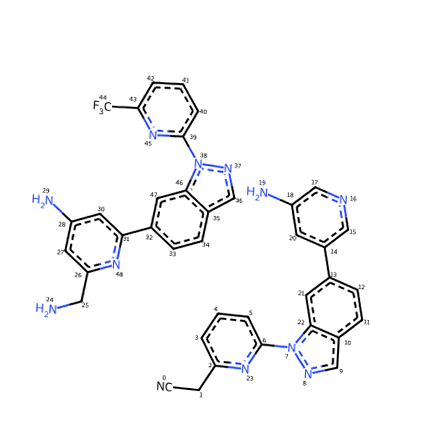 N#CCc1cccc(-n2ncc3ccc(-c4cncc(N)c4)cc32)n1.NCc1cc(N)cc(-c2ccc3cnn(-c4cccc(C(F)(F)F)n4)c3c2)n1